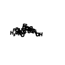 CCCc1c2c(nn1C)C(=O)[N]C(c1cc(S(=O)(=O)N3CCN(CCO)CC3)ccc1OCC)=N2